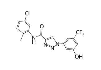 Cc1ccc(Cl)cc1NC(=O)c1cn(-c2cc(O)cc(C(F)(F)F)c2)nn1